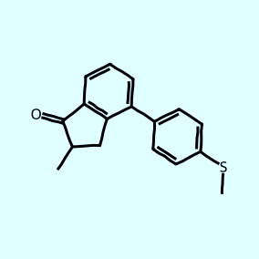 CSc1ccc(-c2cccc3c2CC(C)C3=O)cc1